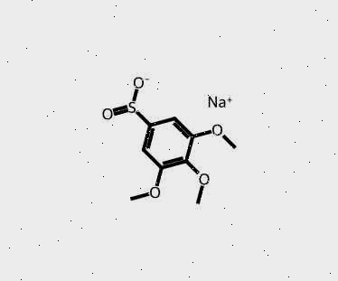 COc1cc(S(=O)[O-])cc(OC)c1OC.[Na+]